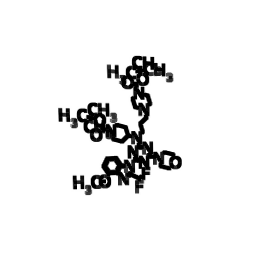 COc1cccc2c1nc(C(F)F)n2-c1nc(N2CCOCC2)nc(N(CCCN2CCN(C(=O)OC(C)(C)C)CC2)C2CCN(C(=O)OC(C)(C)C)CC2)n1